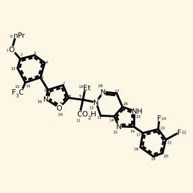 CCCOc1ccc(-c2cc(C(CC)(C(=O)O)N3Cc4nc(-c5cccc(F)c5F)[nH]c4C=N3)on2)c(C(F)(F)F)c1